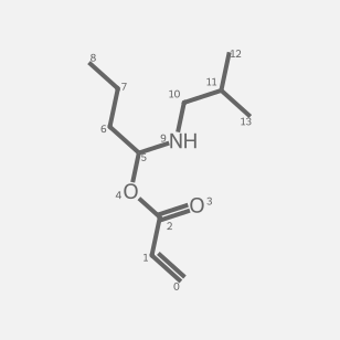 C=CC(=O)OC(CCC)NCC(C)C